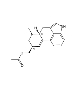 CC(=O)OC[C@@H]1C=C2c3cccc4[nH]cc(c34)C[C@H]2N(C)C1